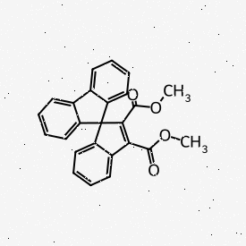 COC(=O)C1=C(C(=O)OC)C2(c3ccccc31)c1ccccc1-c1ccccc12